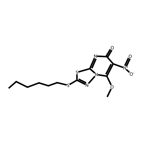 CCCCCCSc1nn2c(OC)c([N+](=O)[O-])c(=O)nc2s1